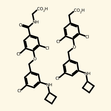 O=C(O)CNC(=O)c1cc(Cl)c(OCc2cc(Cl)cc(NC3CCC3)c2)c(Cl)c1.O=C(O)Cc1cc(Cl)c(OCc2cc(Cl)cc(NC3CCC3)c2)c(Cl)c1